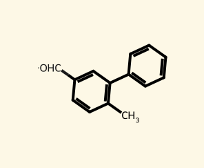 Cc1ccc([C]=O)cc1-c1ccccc1